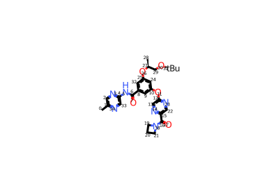 Cc1cnc(NC(=O)c2cc(Oc3cnc(C(=O)N4CCC4)cn3)cc(O[C@@H](C)COC(C)(C)C)c2)cn1